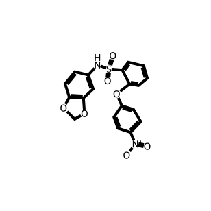 O=[N+]([O-])c1ccc(Oc2ccccc2S(=O)(=O)Nc2ccc3c(c2)OCO3)cc1